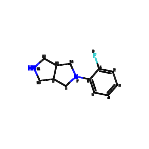 Fc1ccccc1N1CC2CNCC2C1